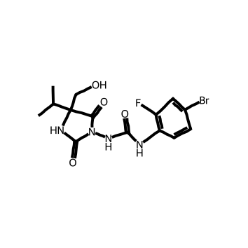 CC(C)C1(CO)NC(=O)N(NC(=O)Nc2ccc(Br)cc2F)C1=O